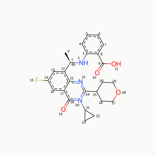 C[C@@H](Nc1ccccc1C(=O)O)c1cc(F)cc2c(=O)n(C3CC3)c(C3CCOCC3)nc12